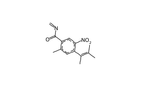 C=NC(=O)c1cc([N+](=O)[O-])c(C(C)=C(C)C)cc1C